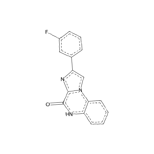 O=c1[nH]c2ccccc2n2cc(-c3cccc(F)c3)nc12